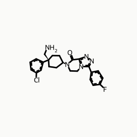 NC[C@]1(c2cccc(Cl)c2)CC[C@H](N2CCn3c(nnc3-c3ccc(F)cc3)C2=O)CC1